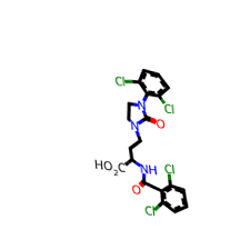 O=C(NC(CCN1CCN(c2c(Cl)cccc2Cl)C1=O)C(=O)O)c1c(Cl)cccc1Cl